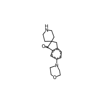 O=C1c2cc(N3CCOCC3)ccc2CC12CCNCC2